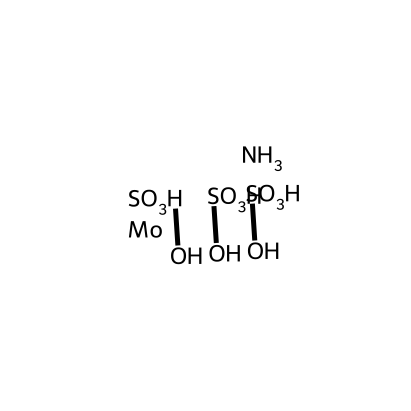 N.O=S(=O)(O)O.O=S(=O)(O)O.O=S(=O)(O)O.[Mo]